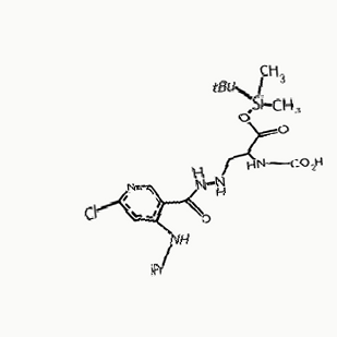 CC(C)Nc1cc(Cl)ncc1C(=O)NNCC(NC(=O)O)C(=O)O[Si](C)(C)C(C)(C)C